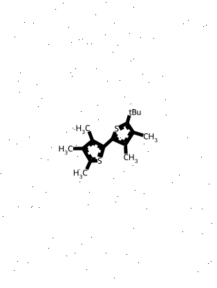 Cc1sc(-c2sc(C(C)(C)C)c(C)c2C)c(C)c1C